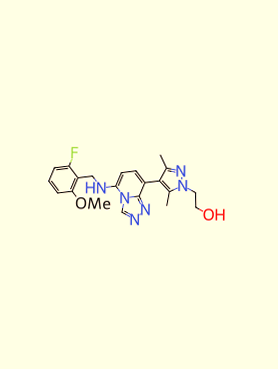 COc1cccc(F)c1CNc1ccc(-c2c(C)nn(CCO)c2C)c2nncn12